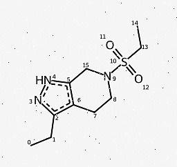 CCc1n[nH]c2c1CCN(S(=O)(=O)CC)C2